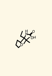 CCC(NC(=O)O)(C1CCCO1)C(C)(C)C